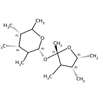 CC1O[C@H](O[C@]2(C)O[C@H](C)[C@H](C)C2C)C(C)[C@H](C)[C@@H]1C